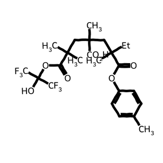 CCC(C)(CC(C)(CC(C)(C)C(=O)OC(O)(C(F)(F)F)C(F)(F)F)C(=O)O)C(=O)Oc1ccc(C)cc1